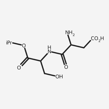 CC(C)OC(=O)C(CO)NC(=O)C(N)CC(=O)O